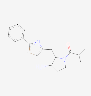 CC(C)C(=O)N1CCC(N)C1Cc1csc(-c2ccccc2)n1